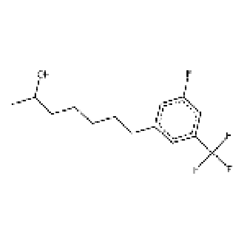 CC(O)CCCCCc1cc(F)cc(C(F)(F)F)c1